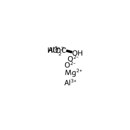 O=C(O)O.[Al+3].[Al+3].[Mg+2].[O-2].[O-2].[O-2]